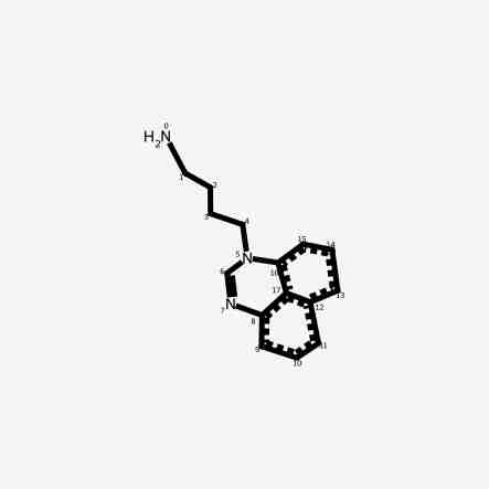 NCCCCN1C=Nc2cccc3cccc1c23